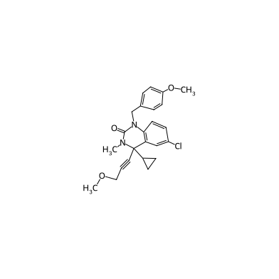 COCC#CC1(C2CC2)c2cc(Cl)ccc2N(Cc2ccc(OC)cc2)C(=O)N1C